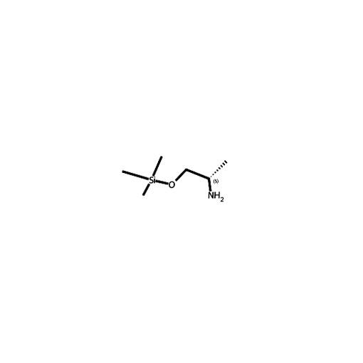 C[C@H](N)CO[Si](C)(C)C